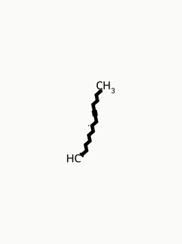 C#CCCCCC[CH]CC#CCCCCC